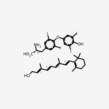 CC1=C(/C=C/C(C)=C/C=C/C(C)=C/CO)C(C)(C)CCC1.N[C@@H](Cc1cc(I)c(Oc2cc(I)c(O)c(I)c2)c(I)c1)C(=O)O